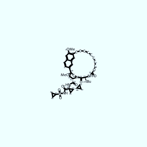 COc1cc2ccc3cc2cc1CCCCCCCCOC(=O)N[C@@H](C(C)(C)C)C(=O)N1C[C@@]3(OC)C[C@H]1C(=O)N[C@]1(C(=O)NS(=O)(=O)C2CC2)C[C@H]1C1CC1